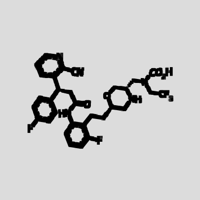 N#Cc1ncccc1[C@@H](CC(=O)Nc1cccc(F)c1CC[C@@H]1CN[C@@H](CN(CC(F)(F)F)C(=O)O)CO1)c1ccc(F)cc1